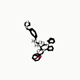 O=C(Nc1cccc(CN2CCOCC2)c1)NC1C(=O)N(CC23CC4CC(CC(C4)C2)C3)c2ccccc2N(c2ccccc2)C1=O